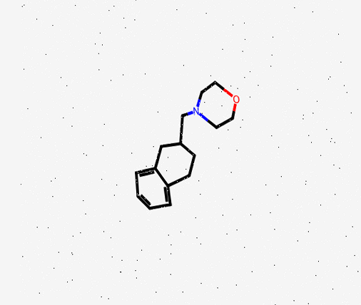 c1ccc2c(c1)CCC(CN1CCOCC1)C2